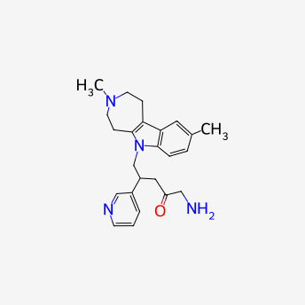 Cc1ccc2c(c1)c1c(n2CC(CC(=O)CN)c2cccnc2)CCN(C)CC1